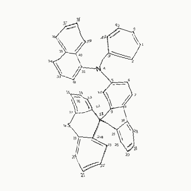 c1ccc(N(c2ccc3c(c2)C2(c4ccccc4Sc4ccccc42)c2ccccc2-3)c2cccc3ccccc23)cc1